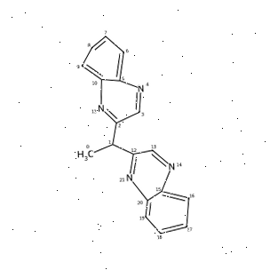 CC(c1cnc2ccccc2n1)c1cnc2ccccc2n1